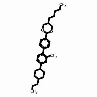 CCCCCC1COC(c2ccc(-c3ccc(C4CCC(CCC)CC4)cc3C)cc2)OC1